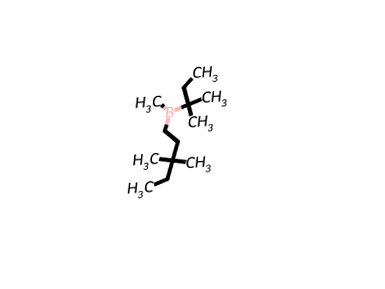 CCC(C)(C)CCB(C)C(C)(C)CC